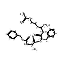 C[C@H](NC(=O)OCc1ccccc1)C(=O)N[C@@H](Cc1ccccc1)C(=O)N[C@@H](CCCNC(=N)N)C(=O)O